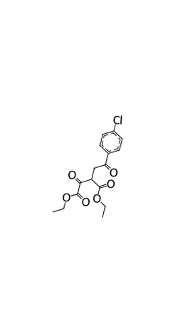 CCOC(=O)C(=O)C(CC(=O)c1ccc(Cl)cc1)C(=O)OCC